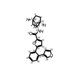 O=C(N[C@@H]1C[C@H]2CC[C@@H]1N2)c1ccc(-c2ccccc2-c2ccoc2)o1